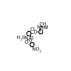 Cc1nc2c(OCc3c(Cl)ccc(N(C)C(=O)Oc4ccc([N+](=O)[O-])cc4)c3Cl)cccn2c1Br